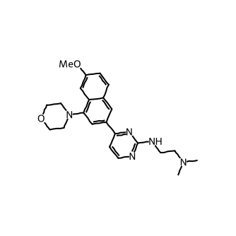 COc1ccc2cc(-c3ccnc(NCCN(C)C)n3)cc(N3CCOCC3)c2c1